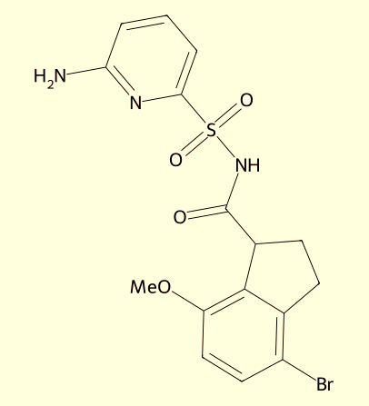 COc1ccc(Br)c2c1C(C(=O)NS(=O)(=O)c1cccc(N)n1)CC2